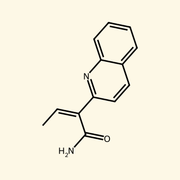 CC=C(C(N)=O)c1ccc2ccccc2n1